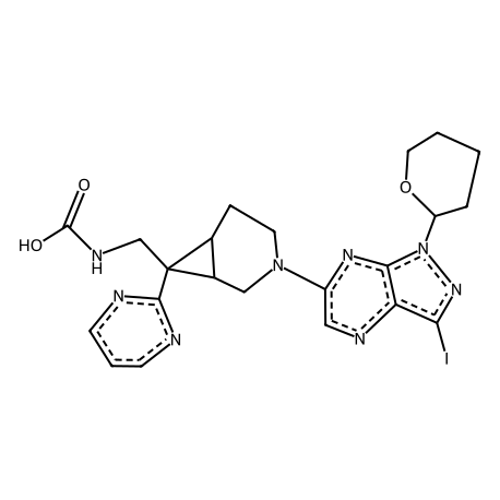 O=C(O)NCC1(c2ncccn2)C2CCN(c3cnc4c(I)nn(C5CCCCO5)c4n3)CC21